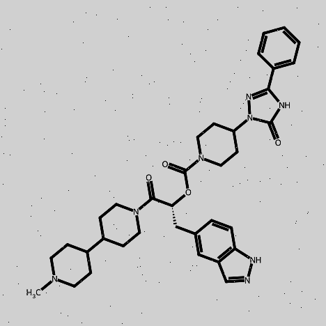 CN1CCC(C2CCN(C(=O)[C@@H](Cc3ccc4[nH]ncc4c3)OC(=O)N3CCC(n4nc(-c5ccccc5)[nH]c4=O)CC3)CC2)CC1